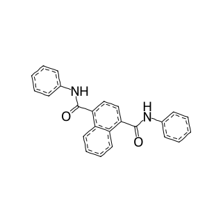 O=C(Nc1ccccc1)c1ccc(C(=O)Nc2ccccc2)c2ccccc12